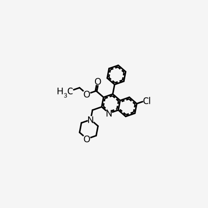 CCOC(=O)c1c(CN2CCOCC2)nc2ccc(Cl)cc2c1-c1ccccc1